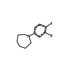 Fc1cc(N2CCCCCC2)ccc1I